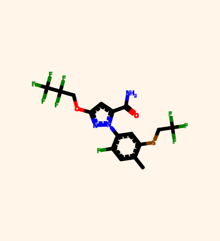 Cc1cc(F)c(-n2nc(OCC(F)(F)C(F)(F)F)cc2C(N)=O)cc1SCC(F)(F)F